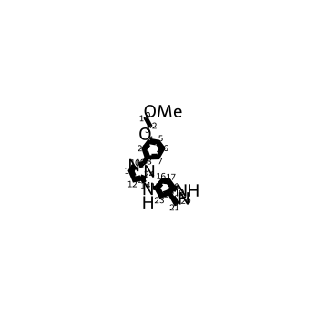 COCCOc1cccc(-c2nccc(Nc3ccc4[nH]ncc4c3)n2)c1